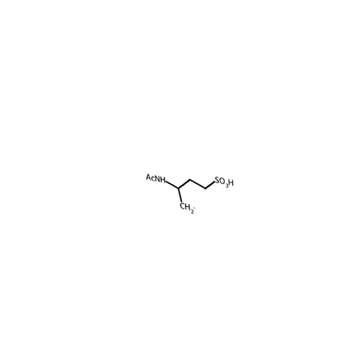 [CH2]C(CCS(=O)(=O)O)NC(C)=O